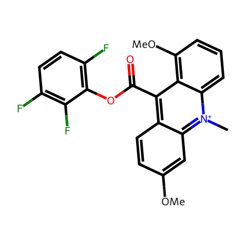 COc1ccc2c(C(=O)Oc3c(F)ccc(F)c3F)c3c(OC)cccc3[n+](C)c2c1